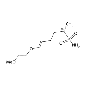 COCCOC=CCC[C@H](C)S(N)(=O)=O